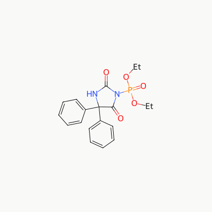 CCOP(=O)(OCC)N1C(=O)NC(c2ccccc2)(c2ccccc2)C1=O